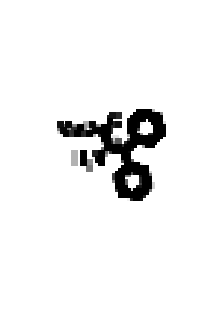 COC(=O)[C@@H](N)C(c1ccccc1)c1ccccc1